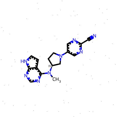 CN(c1ncnc2[nH]ccc12)[C@H]1CCN(c2cnc(C#N)nc2)C1